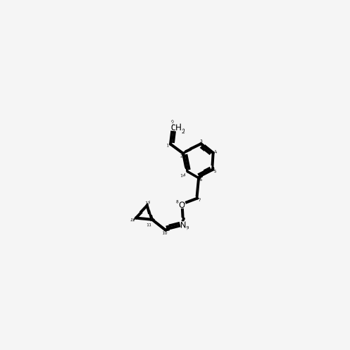 C=Cc1cccc(CO/N=[C]\C2CC2)c1